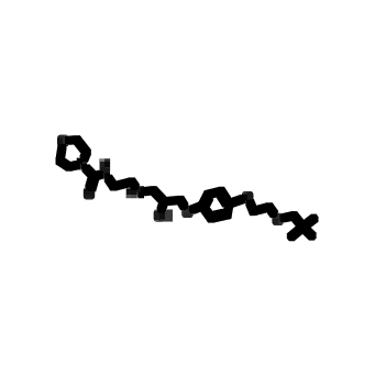 CC(C)(C)COCCOc1ccc(OCC(O)CNCCNC(=O)N2CCOCC2)cc1